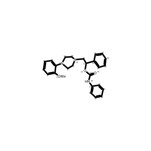 COc1ccccc1N1CCN(CC(OC(=O)Nc2ccccc2)c2ccccc2)CC1